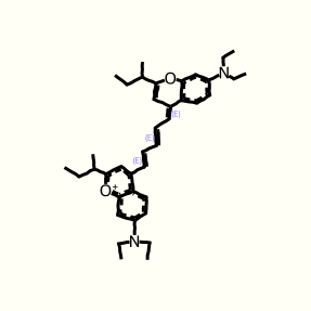 CCC(C)C1=C\C(=C/C=C/C=C/c2cc(C(C)CC)[o+]c3cc(N(CC)CC)ccc23)c2ccc(N(CC)CC)cc2O1